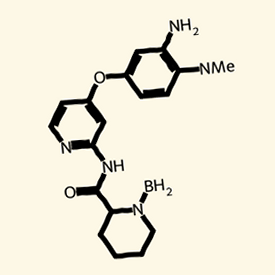 BN1CCCCC1C(=O)Nc1cc(Oc2ccc(NC)c(N)c2)ccn1